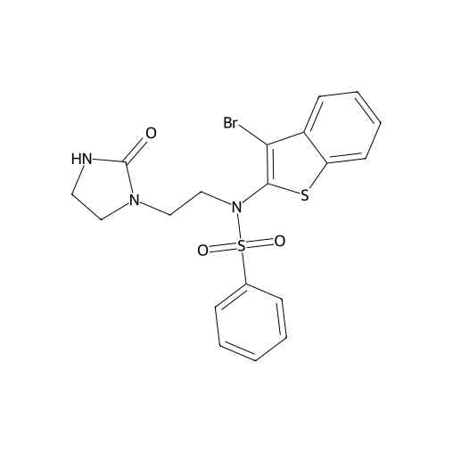 O=C1NCCN1CCN(c1sc2ccccc2c1Br)S(=O)(=O)c1ccccc1